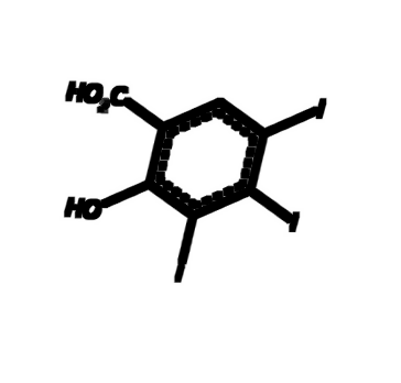 O=C(O)c1cc(I)c(I)c(I)c1O